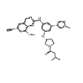 C#Cc1cc(OC)c2nc(Nc3cc(O[C@@H]4CCN(C(=O)CN(C)C)C4)cc(-c4cnn(C)c4)c3)ncc2c1